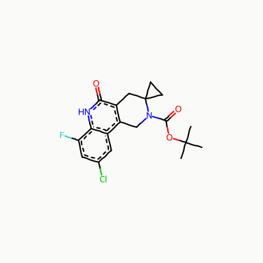 CC(C)(C)OC(=O)N1Cc2c(c(=O)[nH]c3c(F)cc(Cl)cc23)CC12CC2